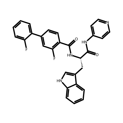 O=C(N[C@@H](Cc1c[nH]c2ccccc12)C(=O)Nc1ccncc1)c1ccc(-c2ccccc2F)cc1F